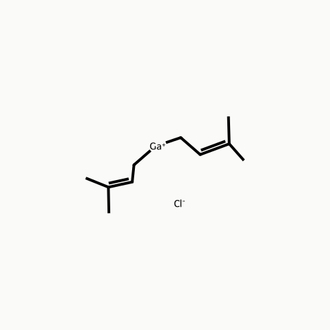 CC(C)=C[CH2][Ga+][CH2]C=C(C)C.[Cl-]